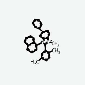 Cc1ccc(C)c(-c2n(-c3cccc4ccccc34)c3cc(-c4ccccc4)ccc3[n+]2C)c1